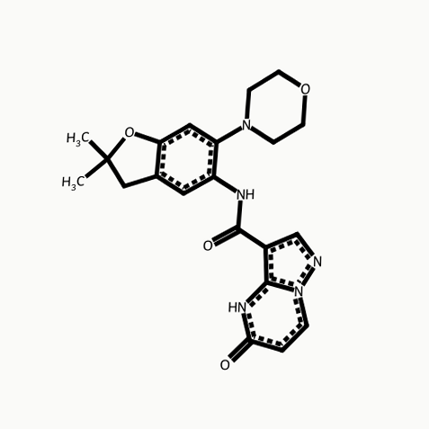 CC1(C)Cc2cc(NC(=O)c3cnn4ccc(=O)[nH]c34)c(N3CCOCC3)cc2O1